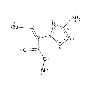 CCCOC(=O)C(=CC(C)(C)C)c1csc(N)n1